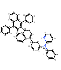 c1ccc(-c2c3c(c(-c4ccccc4)c4ccccc24)-c2ccc(-c4cccc(N(c5ccccc5)c5ccccn5)c4)c4cccc-3c24)cc1